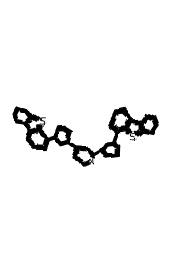 c1cc(-c2ccnc(-c3cccc(-c4cccc5c4sc4ccccc45)c3)c2)cc(-c2cccc3c2sc2ccccc23)c1